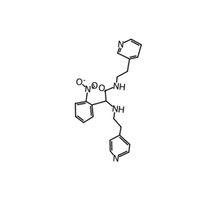 O=C(NCCc1cccnc1)C(NCCc1ccncc1)c1ccccc1[N+](=O)[O-]